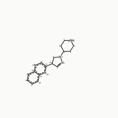 C1=NN(C2CCNCC2)CC1c1cnc2ccccc2n1